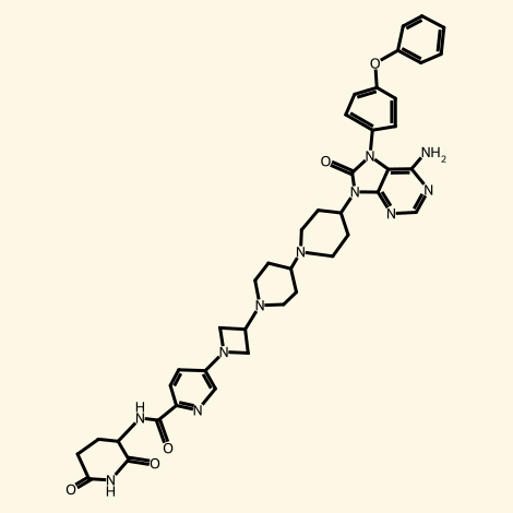 Nc1ncnc2c1n(-c1ccc(Oc3ccccc3)cc1)c(=O)n2C1CCN(C2CCN(C3CN(c4ccc(C(=O)NC5CCC(=O)NC5=O)nc4)C3)CC2)CC1